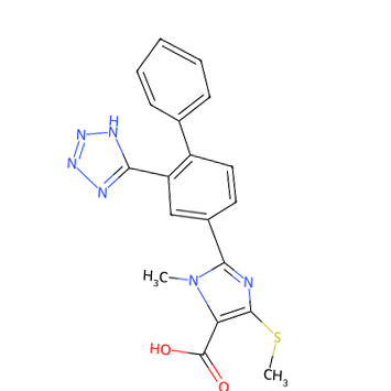 CSc1nc(-c2ccc(-c3ccccc3)c(-c3nnn[nH]3)c2)n(C)c1C(=O)O